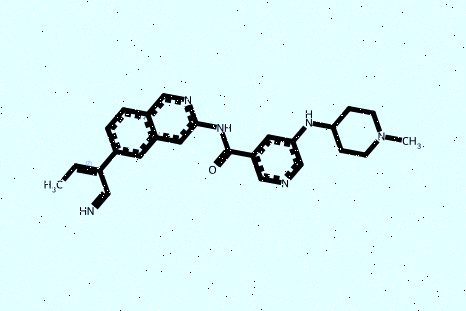 C/C=C(\C=N)c1ccc2cnc(NC(=O)c3cncc(NC4CCN(C)CC4)c3)cc2c1